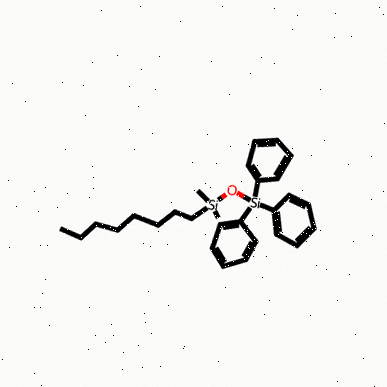 CCCCCCCC[Si](C)(C)O[Si](c1ccccc1)(c1ccccc1)c1ccccc1